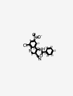 N#Cc1cnc2c(Cl)cc([N+](=O)[O-])cc2c1NC(=O)c1ccccc1